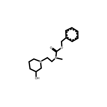 CN(CCN1CCCC(O)C1)C(=O)OCc1ccccc1